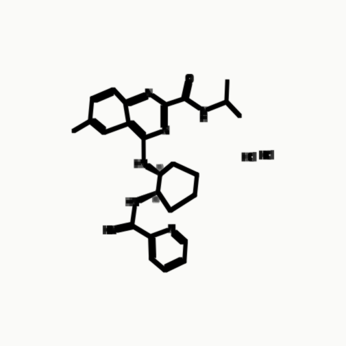 Cc1ccc2nc(C(=O)NC(C)C)nc(N[C@H]3CCCC[C@H]3NC(=N)c3ccccn3)c2c1.Cl.Cl